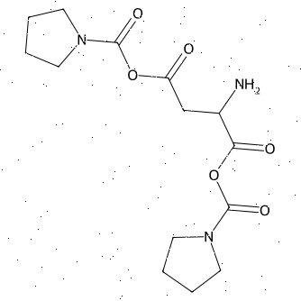 NC(CC(=O)OC(=O)N1CCCC1)C(=O)OC(=O)N1CCCC1